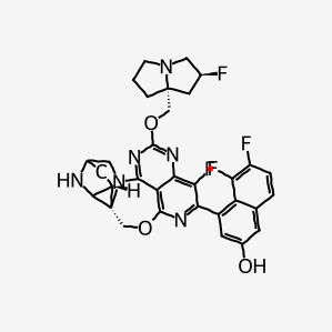 Oc1cc(-c2nc3c4c(nc(OC[C@]56CCCN5C[C@@H](F)C6)nc4c2F)N2CC4C[C@H]5C(N4)[C@@]52CO3)c2c(F)c(F)ccc2c1